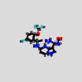 C[C@@H](Nc1ccn2ncc(/C(N)=N/O)c2n1)c1cc(F)ccc1OC(F)F